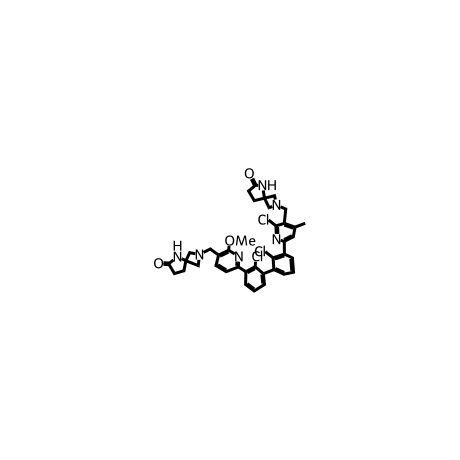 COc1nc(-c2cccc(-c3cccc(-c4cc(C)c(CN5CC6(CCC(=O)N6)C5)c(Cl)n4)c3Cl)c2Cl)ccc1CN1CC2(CCC(=O)N2)C1